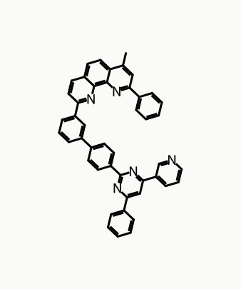 Cc1cc(-c2ccccc2)nc2c1ccc1ccc(-c3cccc(-c4ccc(-c5nc(-c6ccccc6)cc(-c6cccnc6)n5)cc4)c3)nc12